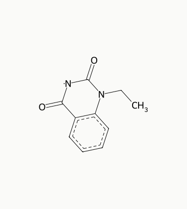 CCN1C(=O)[N]C(=O)c2ccccc21